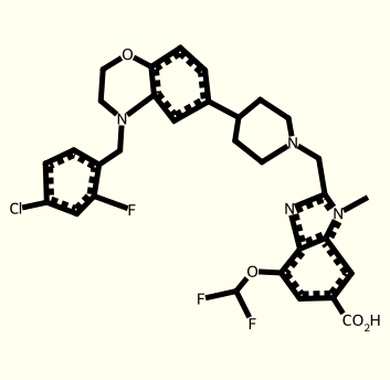 Cn1c(CN2CCC(c3ccc4c(c3)N(Cc3ccc(Cl)cc3F)CCO4)CC2)nc2c(OC(F)F)cc(C(=O)O)cc21